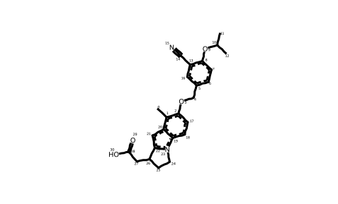 Cc1c(OCc2ccc(OC(C)C)c(C#N)c2)ccc2c1cc1n2CCC1CC(=O)O